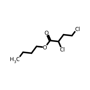 CCCCOC(=O)C(Cl)CCCl